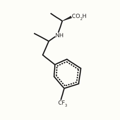 CC(Cc1cccc(C(F)(F)F)c1)N[C@@H](C)C(=O)O